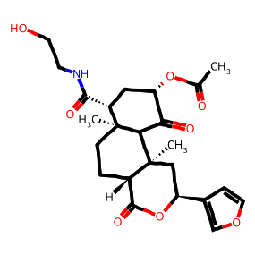 CC(=O)O[C@H]1C[C@@H](C(=O)NCCO)[C@]2(C)CC[C@H]3C(=O)O[C@H](c4ccoc4)C[C@]3(C)C2C1=O